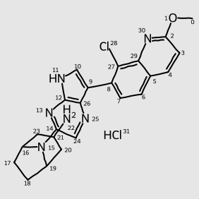 COc1ccc2ccc(-c3c[nH]c4nc(N5C6CCC5CC(N)C6)cnc34)c(Cl)c2n1.Cl